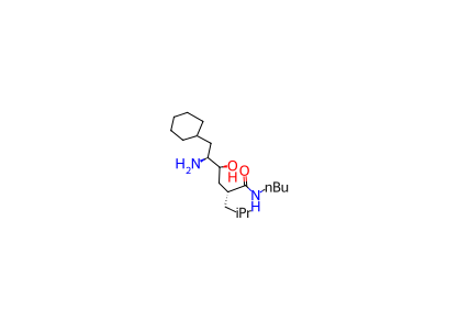 CCCCNC(=O)[C@H](CC(C)C)C[C@H](O)[C@@H](N)CC1CCCCC1